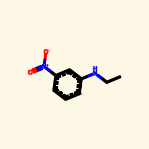 CCNc1[c]ccc([N+](=O)[O-])c1